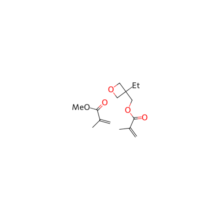 C=C(C)C(=O)OC.C=C(C)C(=O)OCC1(CC)COC1